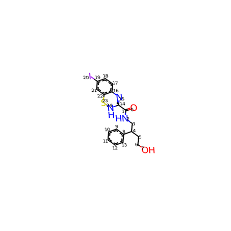 O=C(NCC(CCO)c1ccccc1)C1=Nc2ccc(I)cc2SN1